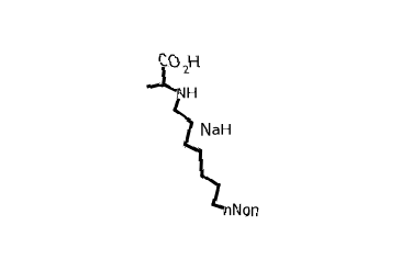 CCCCCCCCCCCCCCCCNC(C)C(=O)O.[NaH]